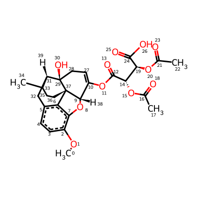 COc1ccc2c3c1O[C@H]1C(OC(=O)[C@@H](OC(C)=O)[C@H](OC(C)=O)C(=O)O)=CC[C@@]4(O)[C@@H](C2)C(C)CC[C@]314